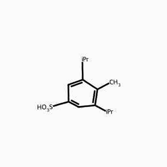 Cc1c(C(C)C)cc(S(=O)(=O)O)cc1C(C)C